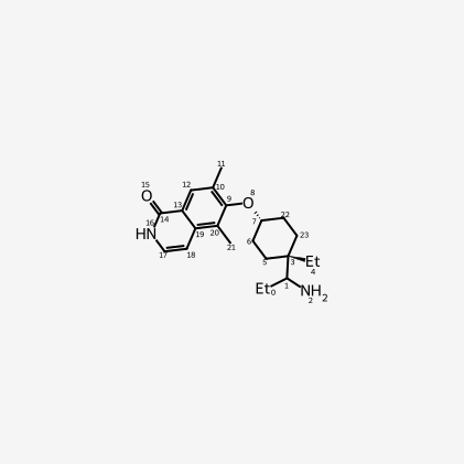 CCC(N)[C@]1(CC)CC[C@H](Oc2c(C)cc3c(=O)[nH]ccc3c2C)CC1